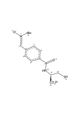 CC(C)(C)/[N+]([O-])=C\c1ccc(C(=O)N[C@@H](CS)C(=O)O)cc1